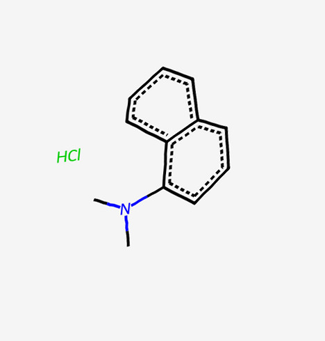 CN(C)c1cccc2ccccc12.Cl